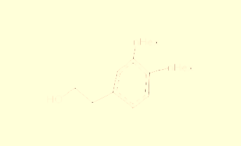 CCCCCCc1ccc(CCO)cc1CCCCCC